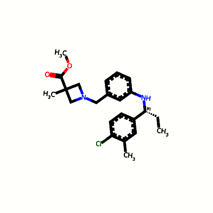 CC[C@@H](Nc1cccc(CN2CC(C)(C(=O)OC)C2)c1)c1ccc(Cl)c(C)c1